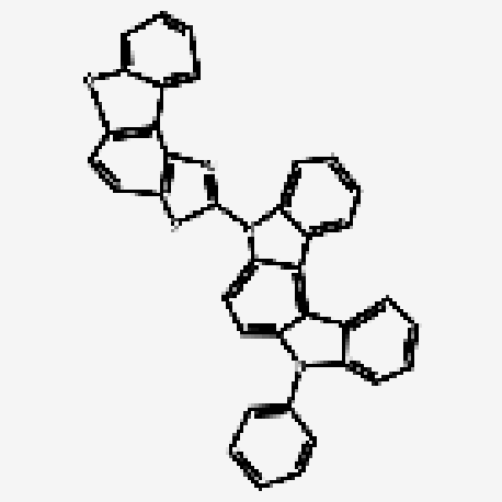 c1ccc(-n2c3ccccc3c3c4c5ccccc5n(-c5nc6c(ccc7oc8ccccc8c76)s5)c4ccc32)cc1